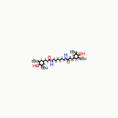 CC(C)(C)C1CC(CCC(=O)NCCCCCCNC(=O)CCC2CC(C(C)(C)C)C(O)C(C(C)(C)C)C2)CC(C(C)(C)C)C1O